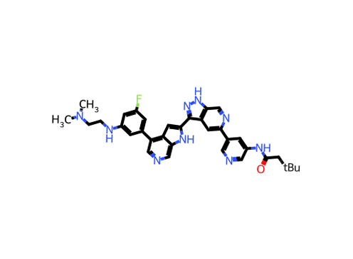 CN(C)CCNc1cc(F)cc(-c2cncc3[nH]c(-c4n[nH]c5cnc(-c6cncc(NC(=O)CC(C)(C)C)c6)cc45)cc23)c1